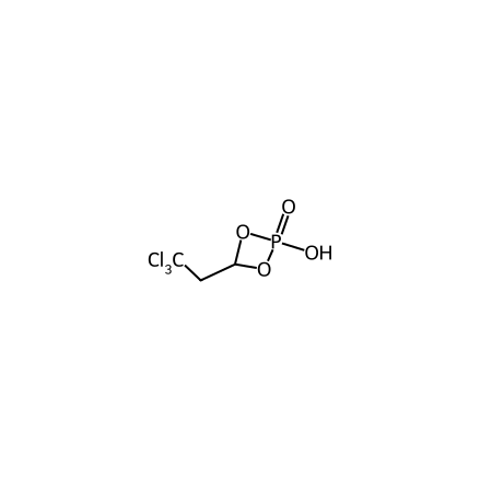 O=P1(O)OC(CC(Cl)(Cl)Cl)O1